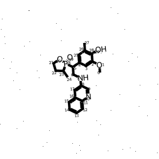 COc1cc(C(CNc2cnc3ccccc3c2)P2(=O)OCCC2C)cc(C)c1O